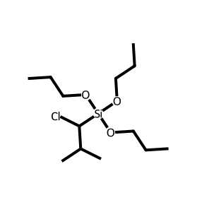 CCCO[Si](OCCC)(OCCC)C(Cl)C(C)C